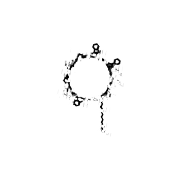 CCCC[C@H]1C(=O)N(C)[C@@H](CCCC)C(=O)N[C@@H](CC(C)C)C(=O)N[C@H](C(=O)NCC(=O)NCCCCCNC(=O)OC(C)(C)C)CSCC(=O)N[C@@H](Cc2ccc(O)cc2)C(=O)N(C)[C@@H](C)C(=O)N[C@@H](CC(N)=O)C(=O)N2CCC[C@H]2C(=O)N[C@@H](CN)C(=O)N[C@@H](CC(C)C)C(=O)N2C[C@H](O)C[C@H]2C(=O)N[C@@H](Cc2c[nH]c3ccccc23)C(=O)NCC(=O)NC(Cc2c[nH]c3ccccc23)C(=O)N1C